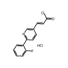 Cl.O=C(Cl)/C=C/c1ccc(-c2ccccc2F)nc1